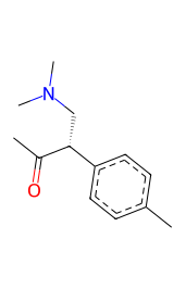 CC(=O)[C@H](CN(C)C)c1ccc(C)cc1